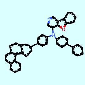 c1ccc(-c2ccc(N(c3ccc(-c4ccc5c(ccc6ccc7ccccc7c65)c4)cc3)c3cncc4c3oc3ccccc34)cc2)cc1